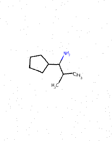 CC(C)C(N)C1CCCC1